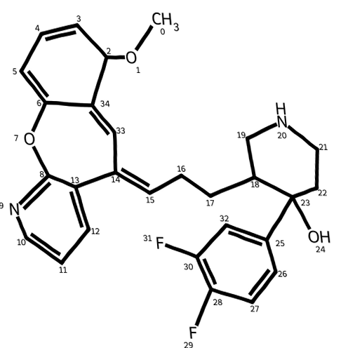 COC1C=CC=C2Oc3ncccc3C(=CCCC3CNCCC3(O)c3ccc(F)c(F)c3)C=C21